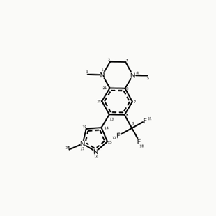 CN1CCN(C)c2cc(C(F)(F)F)c(-c3cnn(C)c3)cc21